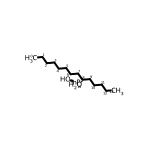 CCCCCCCCCCCCCC.CCCO.O